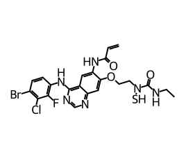 C=CC(=O)Nc1cc2c(Nc3ccc(Br)c(Cl)c3F)ncnc2cc1OCCN(S)C(=O)NCC